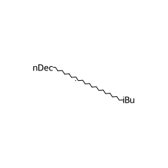 CCCCCCCCCCCCCCCCC[CH]CCCCCCCCCCCCC(C)CC